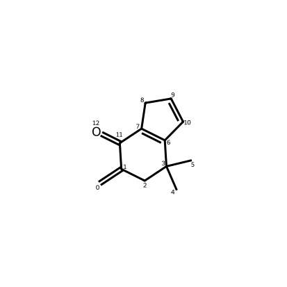 C=C1CC(C)(C)C2=C(CC=C2)C1=O